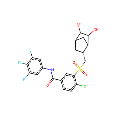 O=C(Nc1cc(F)c(F)c(F)c1)c1ccc(Cl)c(S(=O)(=O)C[C@@H]2CC3CC2C(O)C3O)c1